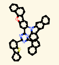 c1ccc2cc3c(cc2c1)c1ccccc1n3-c1cc2c(cc1-c1nc(-c3cccc4ccccc34)nc(-c3cccc4c3sc3ccccc34)n1)oc1c3ccccc3ccc21